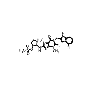 Cn1c(NC2CCCC2OS(C)(=O)=O)nc2c1c(=O)n(Cc1cc3c(Cl)cccc3[nH]1)c(=O)n2C